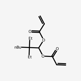 C=CC(=O)OC(OC(=O)C=C)C(CC)(CC)CCCC